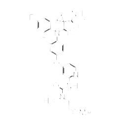 COCCN(C)C(=O)Nc1cc(Oc2ccc(N(C(=O)C3(C(N)=O)CC3)c3ccc(F)cc3)c(F)c2)ccn1